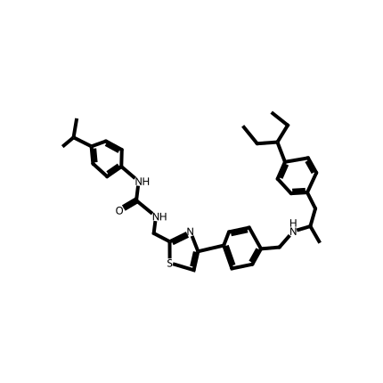 CCC(CC)c1ccc(CC(C)NCc2ccc(-c3csc(CNC(=O)Nc4ccc(C(C)C)cc4)n3)cc2)cc1